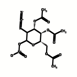 CC(=O)OC[C@@H]1OC(O[N+](=O)[O-])C(N=[N+]=[N-])[C@H](OC(C)=O)[C@@H]1OC(C)=O